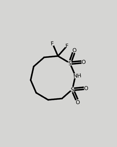 O=S1(=O)CCCCCCC(F)(F)S(=O)(=O)N1